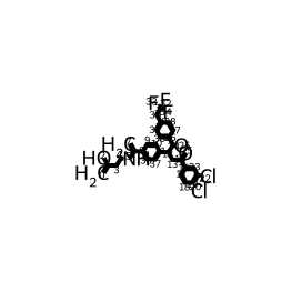 C=C(O)CCNC(=C)c1ccc(C(CC(=O)c2ccc(Cl)c(Cl)c2)C(=O)c2ccc(CC(F)(F)F)cc2)cc1